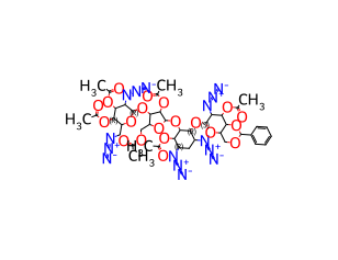 CC(=O)OCC1OC(OC2C(OC(C)=O)[C@H](N=[N+]=[N-])CC(N=[N+]=[N-])[C@H]2O[C@H]2OC3COC(c4ccccc4)OC3C(OC(C)=O)C2N=[N+]=[N-])C(OC(C)=O)C1O[C@H]1OC(CN=[N+]=[N-])[C@@H](OC(C)=O)C(OC(C)=O)C1N=[N+]=[N-]